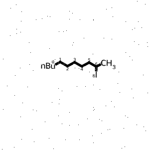 CCCCCCCCCC(C)I